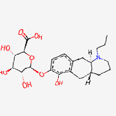 CCCN1CCC[C@@H]2Cc3c(ccc(O[C@@H]4O[C@H](C(=O)O)[C@@H](O)[C@H](O)[C@H]4O)c3O)C[C@H]21